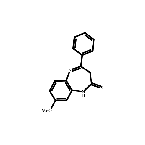 COc1ccc2c(c1)NC(=S)CC(c1ccccc1)=N2